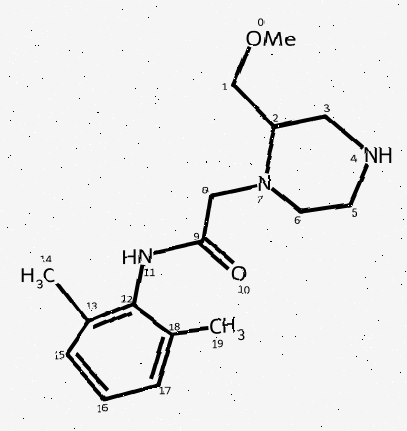 COCC1CNCCN1CC(=O)Nc1c(C)cccc1C